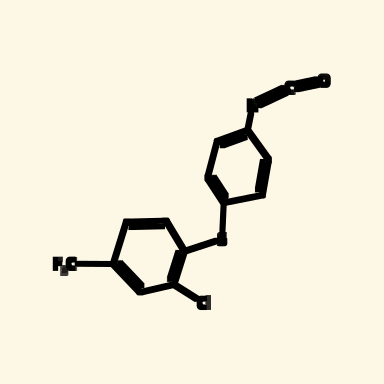 O=C=Nc1ccc(Sc2ccc(C(F)(F)F)cc2Cl)cc1